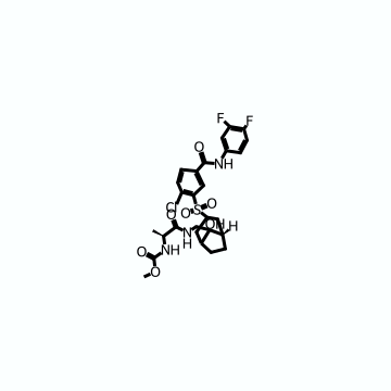 COC(=O)N[C@@H](C)C(=O)NC[C@@]1(O)C2CC[C@H]1CC(S(=O)(=O)c1cc(C(=O)Nc3ccc(F)c(F)c3)ccc1Cl)C2